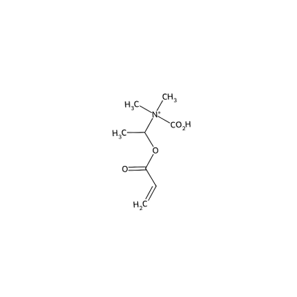 C=CC(=O)OC(C)[N+](C)(C)C(=O)O